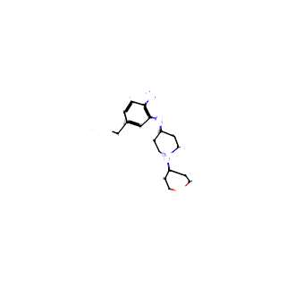 CCc1ccc(N)c(NC2CCN(C3CCOCC3)CC2)c1